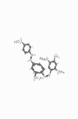 COc1cc(/N=N\c2ccc(N=Nc3ccc(S(=O)(=O)O)cc3)cc2S(=O)(=O)O)c(OC)cc1N